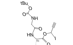 C#CC(I)OC(=O)[C@H](C)NC(=O)CNC(=O)OC(C)(C)C